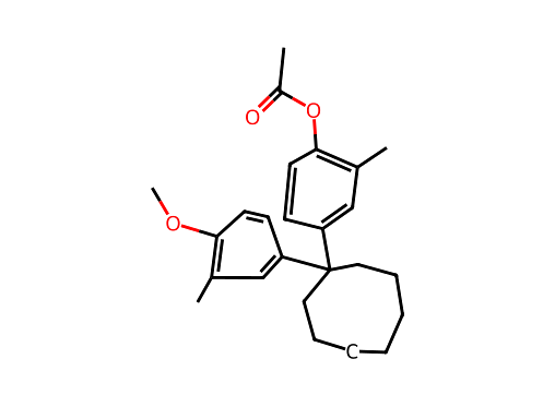 COc1ccc(C2(c3ccc(OC(C)=O)c(C)c3)CCCCCCC2)cc1C